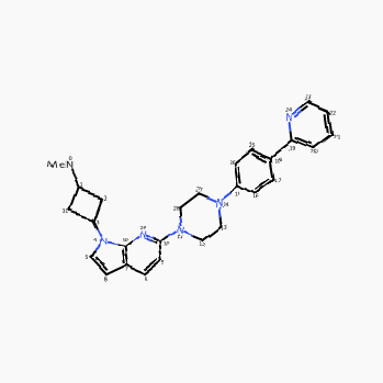 CNC1CC(n2ccc3ccc(N4CCN(c5ccc(-c6ccccn6)cc5)CC4)nc32)C1